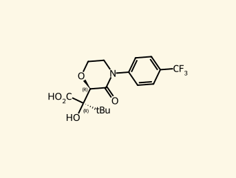 CC(C)(C)[C@](O)(C(=O)O)[C@H]1OCCN(c2ccc(C(F)(F)F)cc2)C1=O